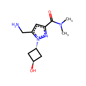 CN(C)C(=O)c1cc(CN)n([C@H]2C[C@H](O)C2)n1